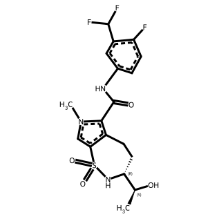 C[C@H](O)[C@H]1CCc2c(cn(C)c2C(=O)Nc2ccc(F)c(C(F)F)c2)S(=O)(=O)N1